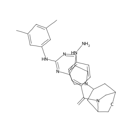 C=C(c1ccc(NN)cc1)N1CC2CCC1CC(N1Cc3cnc(Nc4cc(C)cc(C)c4)nc3C1)C2